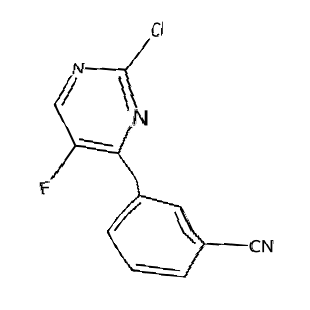 N#Cc1cccc(-c2nc(Cl)ncc2F)c1